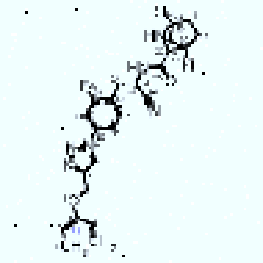 C=C/C(=C\C)OCc1cn(-c2ccc(C[C@@H](C#N)NC(=O)[C@H]3N[C@@H]4CC[C@H]3C4)c(F)c2)nn1